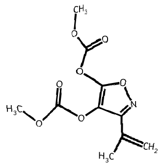 C=C(C)c1noc(OC(=O)OC)c1OC(=O)OC